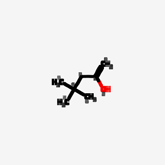 C=C(O)CC(C)(C)C